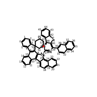 c1ccc2c(c1)-c1c(c3c(c4ccccc14)c1ccc4ccccc4c1n3-c1nc(-c3ccc4ccccc4c3)c3sc4ccccc4c3n1)C21CCCCC1